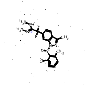 Cc1cccc(Cl)c1[S+]([O-])n1nc(C)c2ccc(C(F)(F)/C(=N/N)NN)cc21